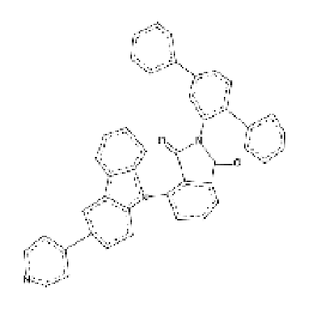 O=C1c2cccc(-n3c4ccccc4c4cc(-c5ccncc5)ccc43)c2C(=O)N1c1cc(-c2ccccc2)ccc1-c1ccccc1